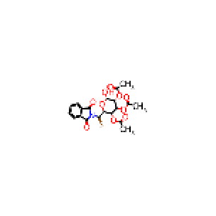 CC(=O)O[C@H]1[C@@H](OC(C)=O)[C@@H](C(=S)N2C(=O)c3ccccc3C2=O)O[C@H](O)[C@@H]1OC(C)=O